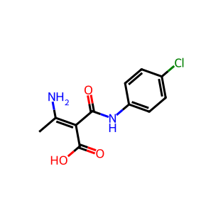 CC(N)=C(C(=O)O)C(=O)Nc1ccc(Cl)cc1